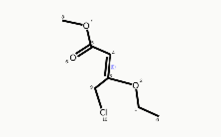 CCO/C(=C/C(=O)OC)CCl